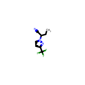 CCC(C#N)n1c[c]c(C(F)(F)F)n1